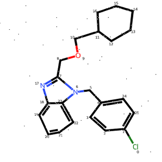 Clc1ccc(Cn2c(COCC3CCCCC3)nc3ccccc32)cc1